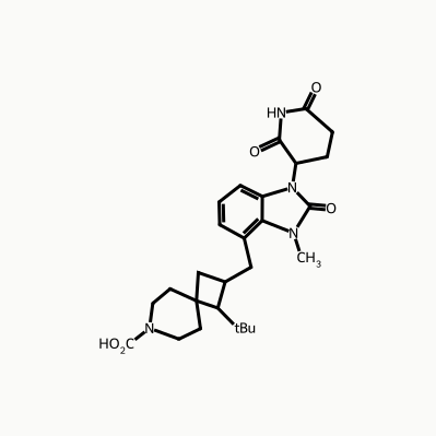 Cn1c(=O)n(C2CCC(=O)NC2=O)c2cccc(CC3CC4(CCN(C(=O)O)CC4)C3C(C)(C)C)c21